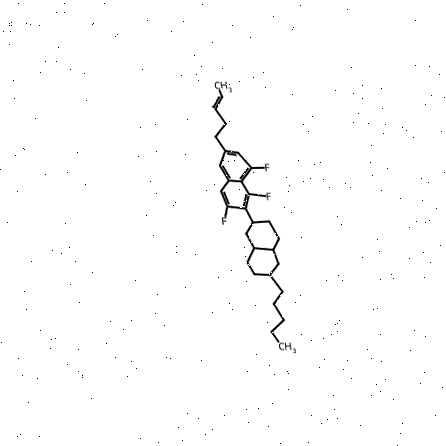 CC=CCCc1cc(F)c2c(F)c(C3CCC4CC(CCCCC)CCC4C3)c(F)cc2c1